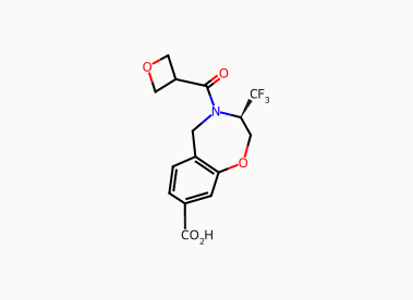 O=C(O)c1ccc2c(c1)OC[C@H](C(F)(F)F)N(C(=O)C1COC1)C2